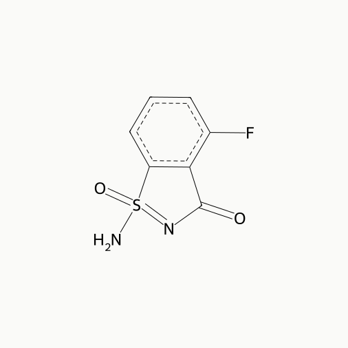 NS1(=O)=NC(=O)c2c(F)cccc21